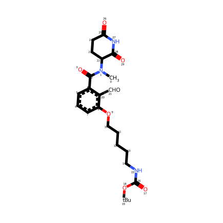 CN(C(=O)c1cccc(OCCCCCNC(=O)OC(C)(C)C)c1C=O)C1CCC(=O)NC1=O